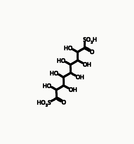 O=C(C(O)C(O)C(O)C(O)C(O)C(O)C(O)C(=O)S(=O)(=O)O)S(=O)(=O)O